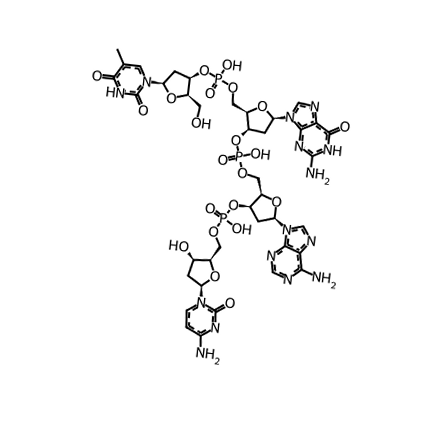 Cc1cn([C@H]2C[C@@H](OP(=O)(O)OC[C@H]3O[C@@H](n4cnc5c(=O)[nH]c(N)nc54)C[C@H]3OP(=O)(O)OC[C@H]3O[C@@H](n4cnc5c(N)ncnc54)C[C@H]3OP(=O)(O)OC[C@H]3O[C@@H](n4ccc(N)nc4=O)C[C@H]3O)[C@@H](CO)O2)c(=O)[nH]c1=O